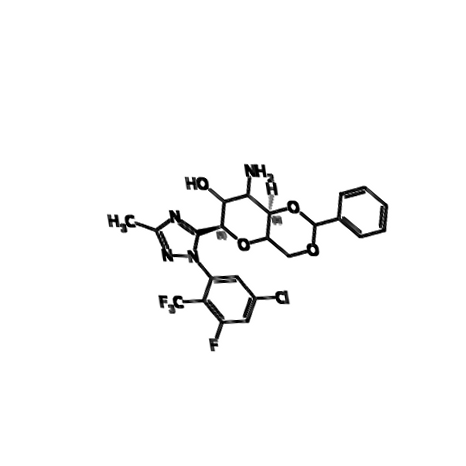 Cc1nc([C@@H]2OC3COC(c4ccccc4)O[C@@H]3C(N)C2O)n(-c2cc(Cl)cc(F)c2C(F)(F)F)n1